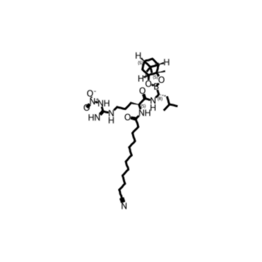 CC(C)C[C@H](NC(=O)[C@H](CCCNC(=N)N[N+](=O)[O-])NC(=O)CCCCCCCCCCC#N)B1O[C@@H]2C[C@@H]3C[C@@H](C3(C)C)[C@]2(C)O1